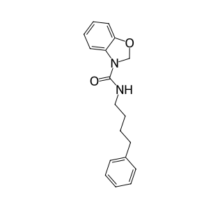 O=C(NCCCCc1ccccc1)N1COc2ccccc21